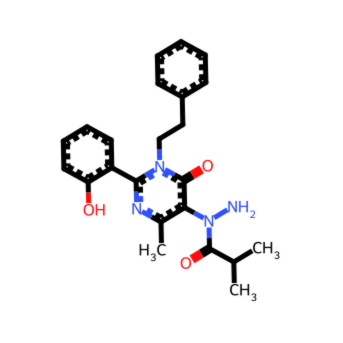 Cc1nc(-c2ccccc2O)n(CCc2ccccc2)c(=O)c1N(N)C(=O)C(C)C